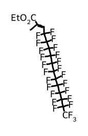 CCOC(=O)C(C)=CC(F)(F)C(F)(F)C(F)(F)C(F)(F)C(F)(F)C(F)(F)C(F)(F)C(F)(F)C(F)(F)C(F)(F)C(F)(F)C(F)(F)F